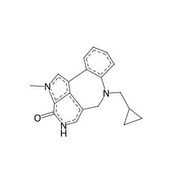 Cn1cc2c3c(c[nH]c(=O)c31)CN(CC1CC1)c1ccccc1-2